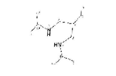 CCC(CNC(C)C)CNC(C)C